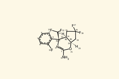 NC1=N[C@@](c2ccccc2F)(C(F)F)[C@H]2CC(F)(F)C[C@H]2O1